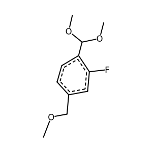 COCc1ccc(C(OC)OC)c(F)c1